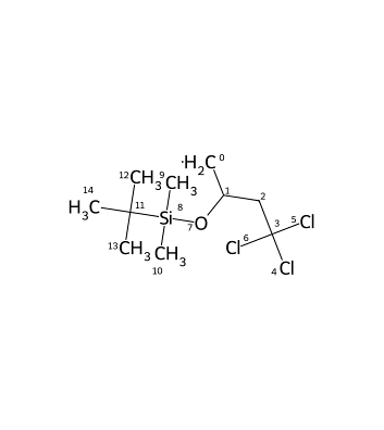 [CH2]C(CC(Cl)(Cl)Cl)O[Si](C)(C)C(C)(C)C